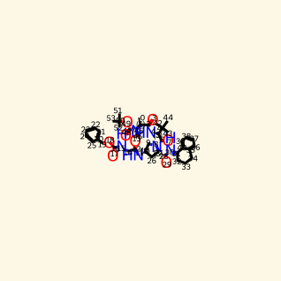 C[C@@H](C(=O)N[C@H](C(=O)N1C[C@@H](NC(=O)CNC(=O)OCc2ccccc2)C[C@H]1C(=O)NC1CCCc2ccccc21)C(C)(C)C)N(C)C(=O)OC(C)(C)C